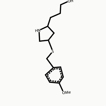 COc1ccc(CSC2CNC(CCCO)C2)cc1